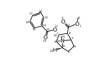 COC(=O)C1C2CC[C@H](C[C@@H]1OC(=O)c1ccccc1)N2C